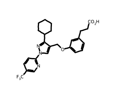 O=C(O)CCc1cccc(OCc2cn(-c3ccc(C(F)(F)F)cn3)nc2C2CCCCC2)c1